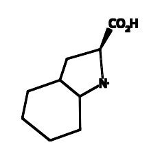 O=C(O)[C@@H]1CC2CCCCC2[N]1